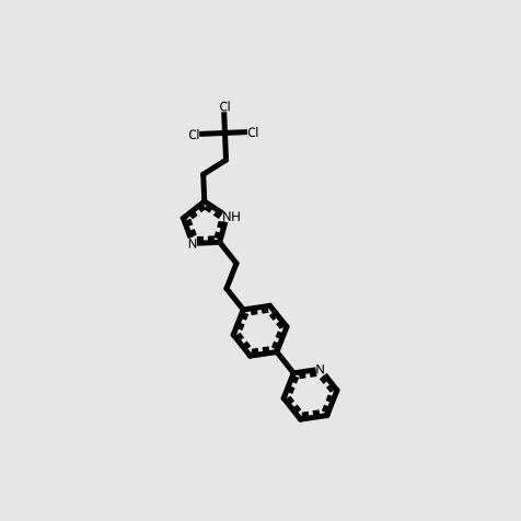 ClC(Cl)(Cl)CCc1cnc(CCc2ccc(-c3ccccn3)cc2)[nH]1